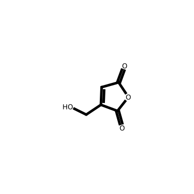 O=C1C=C(CO)C(=O)O1